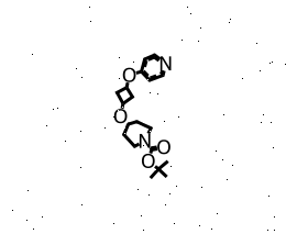 CC(C)(C)OC(=O)N1CCC(OC2CC(Oc3ccncc3)C2)CC1